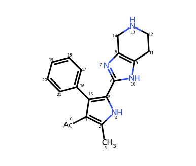 CC(=O)c1c(C)[nH]c(-c2nc3c([nH]2)CCNC3)c1-c1ccccc1